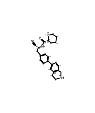 N#C[C@H](Cc1ccc(-c2ccc3c(c2)CCNC3)cc1)NC(=O)[C@@H]1CCCCN1